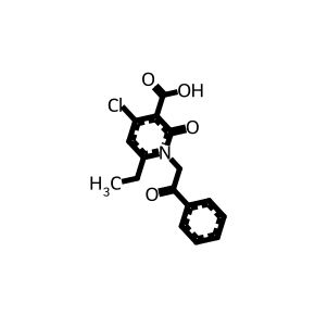 CCc1cc(Cl)c(C(=O)O)c(=O)n1CC(=O)c1ccccc1